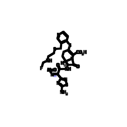 CO/N=C(\C(=O)N[C@@H]1C(=O)N2C(C(=O)O)=C(Sc3ccncc3CSCCNCF)CC[C@H]12)c1nsc(N)n1